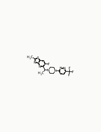 Cc1nc2nc(C(C)N3CCN(c4ccc(C(F)(F)F)nn4)CC3)c(F)cc2s1